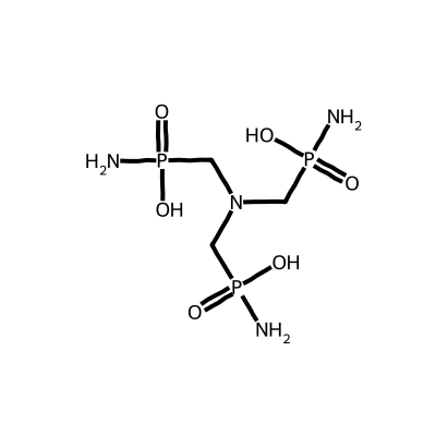 NP(=O)(O)CN(CP(N)(=O)O)CP(N)(=O)O